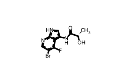 C[C@H](O)C(=O)Nc1c[nH]c2ncc(Br)c(F)c12